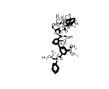 COc1c(-c2cc(C(=O)N[C@@H](Cc3ccccc3)CN(C)C)cc(N(C)C)c2)cccc1[C@@H](CO)N1O[C@@H](CO)[C@H]([C@H](C)O)[C@H]1C(=O)N[C@H]1C[C@H]2C[C@@H]([C@@H]1C)C2(C)C